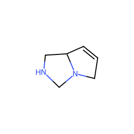 C1=CC2CNCN2C1